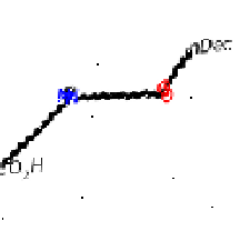 CCCCCCCCCCCCCCCCCCOC(=O)CCCCCCCC=CCCCCCCCCN1CCN=C1CCCCCCCC=CCCCCCCCC(=O)O